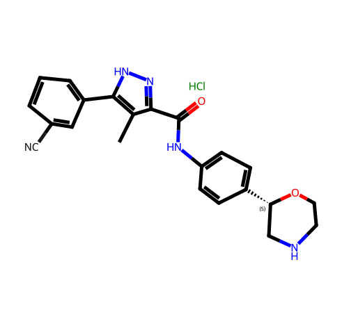 Cc1c(C(=O)Nc2ccc([C@H]3CNCCO3)cc2)n[nH]c1-c1cccc(C#N)c1.Cl